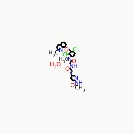 CC(=O)Nc1ccc(/C=C/C(=O)NCC(=O)N(C)c2ccc(Cl)c(COc3cccc4ccc(C)nc34)c2Cl)cn1.O